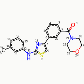 O=C(c1cccc(-c2csc(Nc3cccc(C(F)(F)F)c3)n2)c1)N1CCOCC1